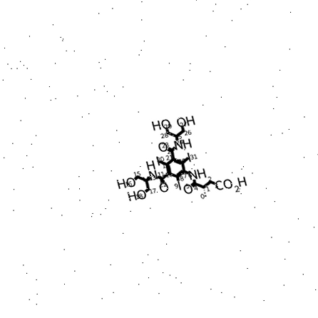 C[C@@H](CC(=O)O)C(=O)Nc1c(I)c(C(=O)NC(CO)CO)c(I)c(C(=O)NC(CO)CO)c1I